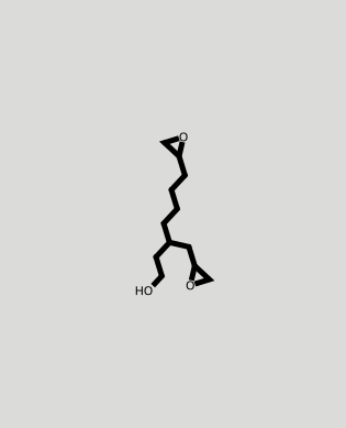 OCCC(CCCCC1CO1)CC1CO1